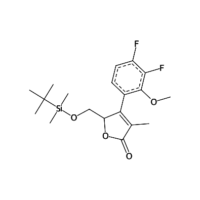 COc1c(C2=C(C)C(=O)OC2CO[Si](C)(C)C(C)(C)C)ccc(F)c1F